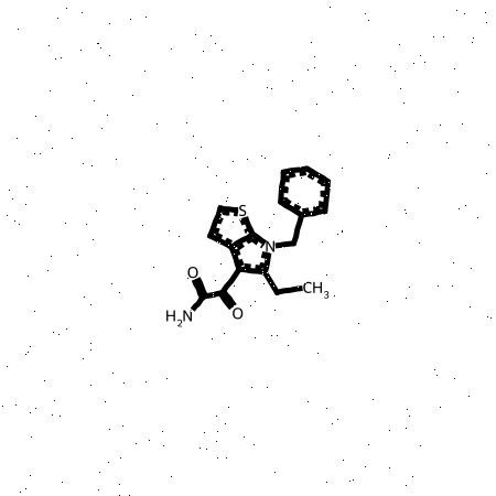 CCc1c(C(=O)C(N)=O)c2ccsc2n1Cc1ccccc1